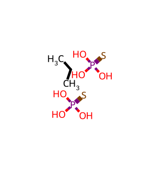 CCC.OP(O)(O)=S.OP(O)(O)=S